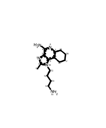 Cc1nc2c(N)nc3c(c2n1CCCCN)CCCC3